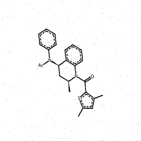 CC(=O)N(c1ccccc1)[C@@H]1C[C@H](C)N(C(=O)c2sc(C)cc2C)c2ccccc21